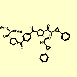 CCCCCN(CCCCC)C(=O)[C@H]1CCN(C(=O)c2ccc(C(=O)N3C[C@@H](C(=O)N[C@H]4C[C@@H]4c4ccccc4)[C@H](C(=O)N[C@H]4C[C@@H]4c4ccccc4)C3)cc2)C1